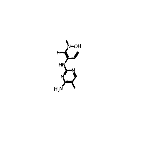 C=C/C(Nc1ncc(C)c(N)n1)=C(/F)N(C)O